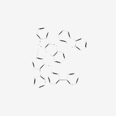 c1cc2c3c(c1)N(c1cccc4c1sc1ccccc14)c1c4c(cc5oc6ccccc6c15)-n1c(c(c5ccccc51)N2c1cccc2c1sc1ccccc12)B34